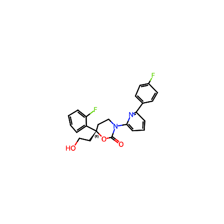 O=C1O[C@](CCO)(c2ccccc2F)CCN1c1cccc(-c2ccc(F)cc2)n1